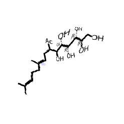 CC(=O)C(C/C=C(\C)CCC=C(C)C)C(O)[C@H](O)[C@@H](O)[C@H](O)[C@H](O)CO